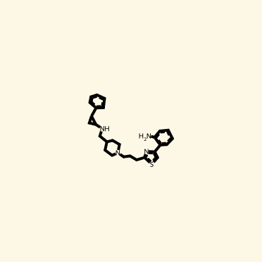 Nc1ccccc1-c1csc(CCCN2CCC(CNC3CC3c3ccccc3)CC2)n1